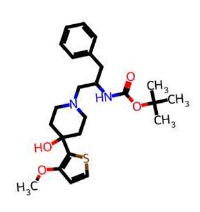 COc1ccsc1C1(O)CCN(CC(Cc2ccccc2)NC(=O)OC(C)(C)C)CC1